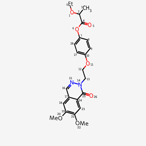 CCOC(C)C(=O)Oc1ccc(OCCn2ncc3cc(OC)c(OC)cc3c2=O)cc1